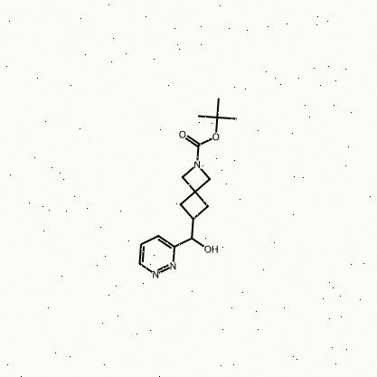 CC(C)(C)OC(=O)N1CC2(CC(C(O)c3cccnn3)C2)C1